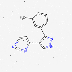 FC(F)(F)c1cccc(-c2n[nH]cc2-c2ccncn2)c1